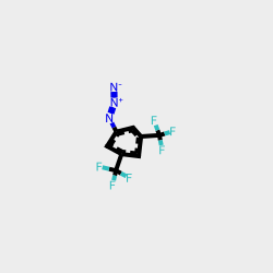 [N-]=[N+]=Nc1cc(C(F)(F)F)cc(C(F)(F)F)c1